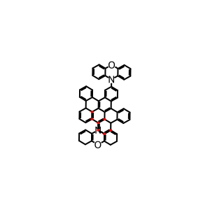 C1=CCC(c2ccccc2-c2c3ccc(N4c5ccccc5Oc5ccccc54)cc3c(-c3ccccc3C3C=CC=CC3)c3ccc(N4C5=C(CCC=C5)OC5=C4C=CCC5)cc23)C=C1